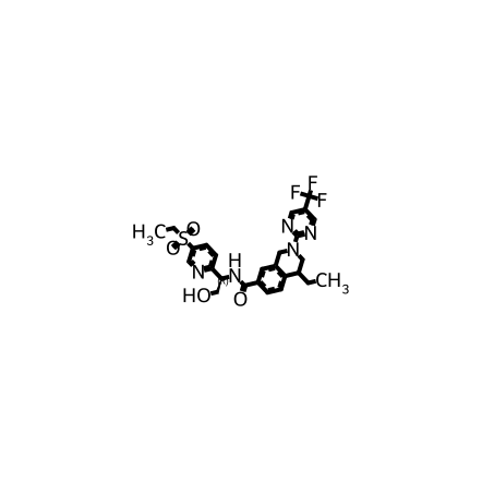 CCC1CN(c2ncc(C(F)(F)F)cn2)Cc2cc(C(=O)N[C@@H](CO)c3ccc(S(=O)(=O)CC)cn3)ccc21